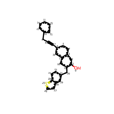 Oc1cc2ccc(C#CCc3ccccc3)cc2cc1Cc1ccc2sccc2c1